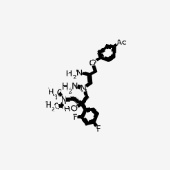 C=CN(C)CC(O)(CN(N)/C=C(\N)COc1ccc(C(C)=O)cc1)c1ccc(F)cc1F